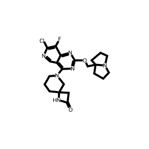 O=C1CC2(CCCN(c3nc(OCC45CCCN4CCC5)nc4c(F)c(Cl)ncc34)C2)N1